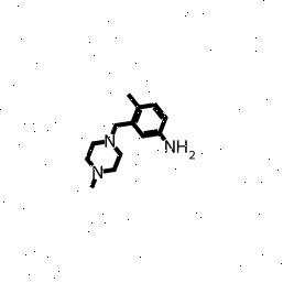 Cc1ccc(N)cc1CN1CCN(C)CC1